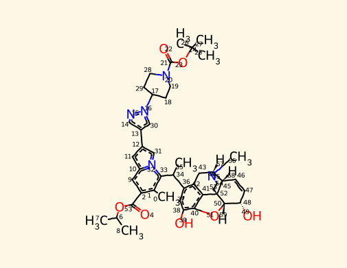 Cc1c(C(=O)OC(C)C)cc2cc(-c3cnn(C4CCN(C(=O)OC(C)(C)C)CC4)c3)cn2c1C(C)c1cc(O)c2c3c1C[C@@H]1[C@@H]4C=C[C@H](O)[C@H](O2)[C@]34CCN1C